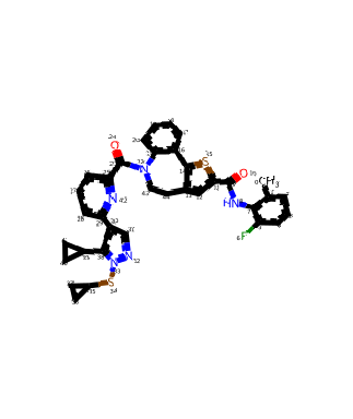 Cc1cccc(F)c1NC(=O)c1cc2c(s1)-c1ccccc1N(C(=O)c1cccc(-c3cnn(SC4CC4)c3C3CC3)n1)CC2